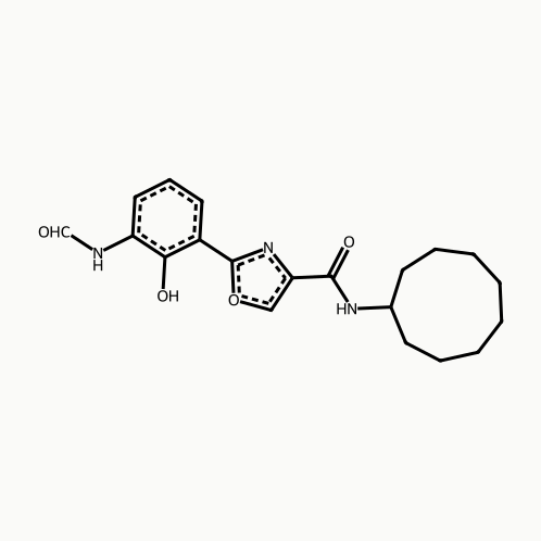 O=CNc1cccc(-c2nc(C(=O)NC3CCCCCCCC3)co2)c1O